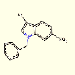 CC(=O)c1cn(Cc2ccccc2)c2cc([N+](=O)[O-])ccc12